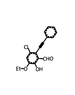 CCOc1cc(Cl)c(C#Cc2ccccc2)c(C=O)c1O